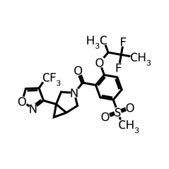 CC(Oc1ccc(S(C)(=O)=O)cc1C(=O)N1CC2CC2(c2nocc2C(F)(F)F)C1)C(C)(F)F